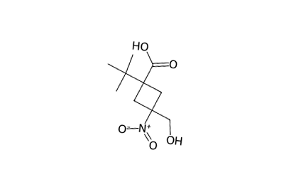 CC(C)(C)C1(C(=O)O)CC(CO)([N+](=O)[O-])C1